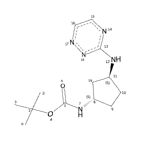 CC(C)(C)OC(=O)N[C@H]1CC[C@H](Nc2nccnn2)C1